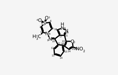 CC1=CS(=O)(=O)C=CN1N=C(c1ccccc1)c1c[nH]nc1-c1ccc([N+](=O)[O-])o1